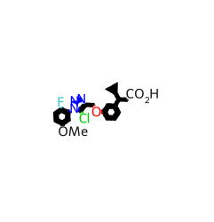 COc1ccc(F)c(-n2nnc(COc3cccc(C(CC(=O)O)C4CC4)c3)c2Cl)c1